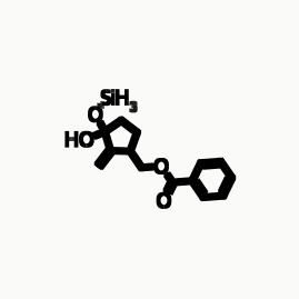 C=C1C(COC(=O)c2ccccc2)CCC1(O)O[SiH3]